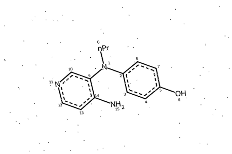 CCCN(c1ccc(O)cc1)c1cnccc1N